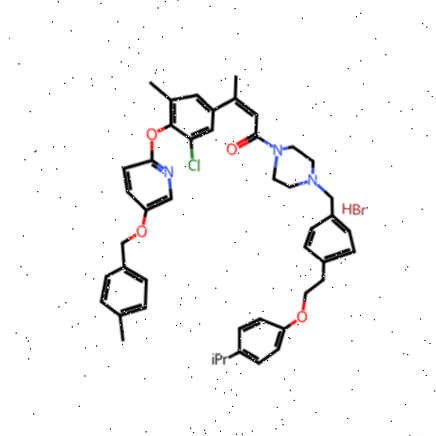 Br.CC(=CC(=O)N1CCN(Cc2ccc(CCOc3ccc(C(C)C)cc3)cc2)CC1)c1cc(C)c(Oc2ccc(OCc3ccc(C)cc3)cn2)c(Cl)c1